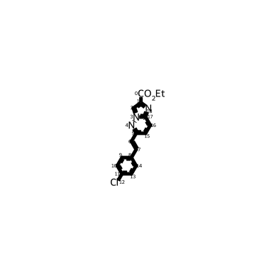 CCOC(=O)c1cn2nc(/C=C/c3ccc(Cl)cc3)ccc2n1